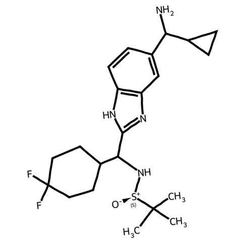 CC(C)(C)[S@@+]([O-])NC(c1nc2cc(C(N)C3CC3)ccc2[nH]1)C1CCC(F)(F)CC1